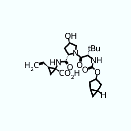 C=C[C@@H]1C[C@]1(NC(=O)[C@@H]1C[C@@H](O)CN1C(=O)[C@@H](NC(=O)OC1CC2C[C@H]2C1)C(C)(C)C)C(=O)O